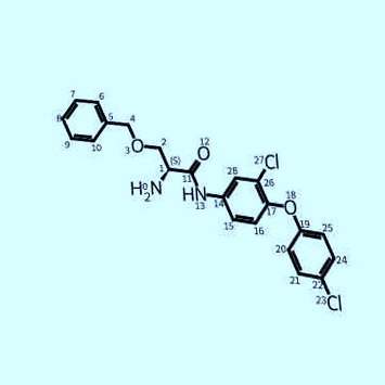 N[C@@H](COCc1ccccc1)C(=O)Nc1ccc(Oc2ccc(Cl)cc2)c(Cl)c1